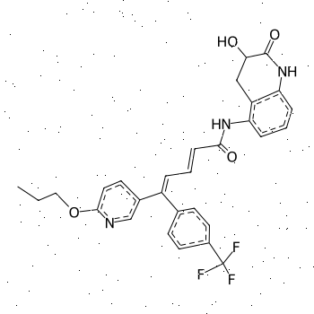 CCCOc1ccc(/C(=C/C=C/C(=O)Nc2cccc3c2CC(O)C(=O)N3)c2ccc(C(F)(F)F)cc2)cn1